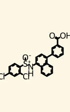 O=C(O)c1cccc(-c2ccc(N[S+]([O-])c3ccc(Cl)cc3Cl)c3ccccc23)c1